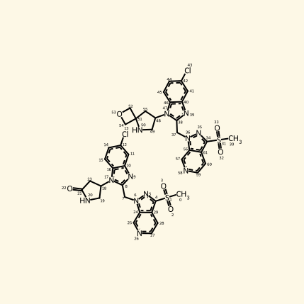 CS(=O)(=O)c1nn(Cc2nc3cc(Cl)ccc3n2C2CNC(=O)C2)c2cnccc12.CS(=O)(=O)c1nn(Cc2nc3cc(Cl)ccc3n2C2CNC3(COC3)C2)c2cnccc12